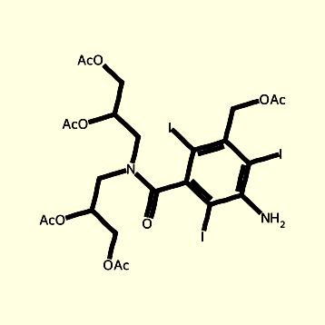 CC(=O)OCc1c(I)c(N)c(I)c(C(=O)N(CC(COC(C)=O)OC(C)=O)CC(COC(C)=O)OC(C)=O)c1I